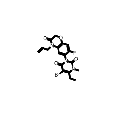 C=CCN1C(=O)COc2cc(F)c(-n3c(=O)c(Br)c(CC)n(C)c3=O)cc21